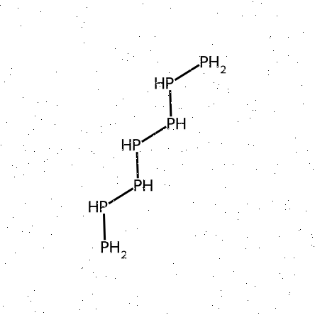 PPPPPPP